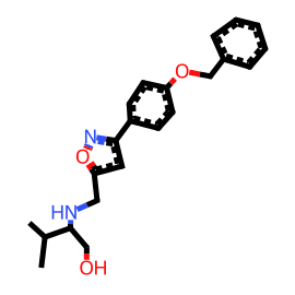 CC(C)C(CO)NCc1cc(-c2ccc(OCc3ccccc3)cc2)no1